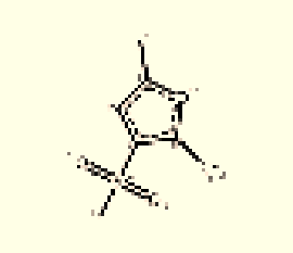 Cc1cc(S(C)(=O)=O)c(C(F)(F)F)o1